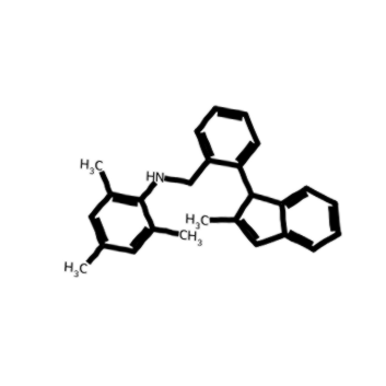 CC1=Cc2ccccc2C1c1ccccc1CNc1c(C)cc(C)cc1C